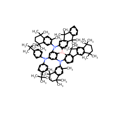 Cc1cc2c(cc1N1c3cc4c(cc3B3c5c1cc(N(c1ccc(C(C)(C)C)cc1)c1ccc(C(C)(C)C)cc1)cc5N(c1cc5c(cc1C)C(C)(C)CCC5(C)C)c1ccc5c(c13)C(C)(C)c1cc3c(cc1-5)C(C)(C)CCC3(C)C)C(C)(C)c1ccccc1C4(C)C)C(C)(C)CCC2(C)C